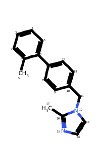 Cc1ccccc1-c1ccc(Cn2ccnc2C)cc1